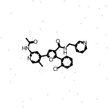 CC(=O)Nc1cc(-c2cc(C(=O)NCc3cccnc3)c(-c3ccccc3Cl)o2)c(C)cn1